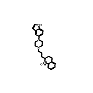 [O-][NH+]1c2ccccc2CCC1CCCN1CCN(c2ccc3[nH]ccc3c2)CC1